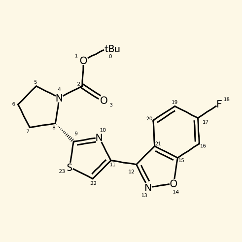 CC(C)(C)OC(=O)N1CCC[C@H]1c1nc(-c2noc3cc(F)ccc23)cs1